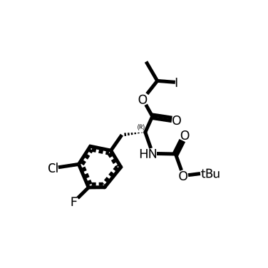 CC(I)OC(=O)[C@@H](Cc1ccc(F)c(Cl)c1)NC(=O)OC(C)(C)C